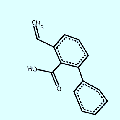 C=Cc1cccc(-c2ccccc2)c1C(=O)O